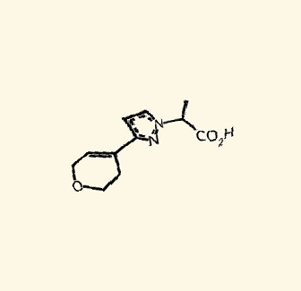 CC(C(=O)O)n1ccc(C2=CCOCC2)n1